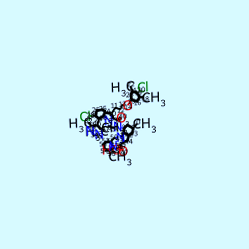 Cc1cc(N2CC(C)n3c(c(CCCOc4cc(C)c(Cl)c(C)c4)c4ccc(Cl)c(-c5c(C)ncnc5C)c43)C2=O)c2c(c1)cc(C(=O)O)n2Cc1cccc(C)n1